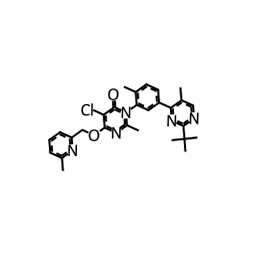 Cc1cccc(COc2nc(C)n(-c3cc(-c4nc(C(C)(C)C)ncc4C)ccc3C)c(=O)c2Cl)n1